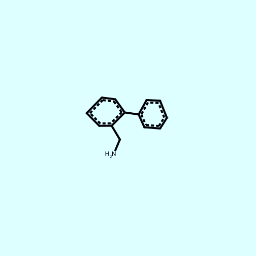 NCc1ccccc1-c1cc[c]cc1